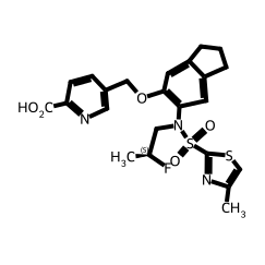 Cc1csc(S(=O)(=O)N(C[C@H](C)F)c2cc3c(cc2OCc2ccc(C(=O)O)nc2)CCC3)n1